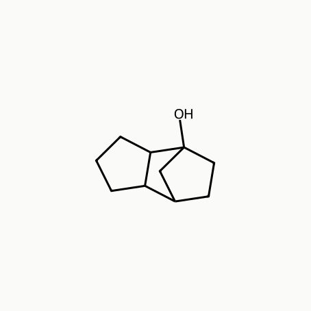 OC12CCC(C1)C1CCCC12